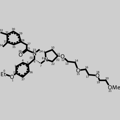 CCOc1ccc([C@@H](CN2CC[C@H](OCCOCCOCCOC)C2)N(C)C(=O)Cc2ccc(C)c(C)c2)cc1